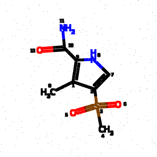 Cc1c(S(C)(=O)=O)c[nH]c1C(N)=O